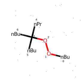 CCCCOOC(CCC)(CCCC)CCCC